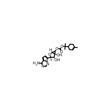 CC1=CCC(C(C)(C)OC(=O)OC2[C@H]3O[C@@](C)(c4ccc5c(N)ncnn45)[C@H](O)[C@@]23O)CC1